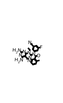 CCN(c1nc(N)nc(N)c1C#N)c1nc2cccc(C)c2c(=O)n1-c1cc(F)cc(C#N)c1